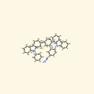 N#Cc1ccc(-n2c3ccccc3c3ccccc32)c(-c2cccc3c2sc2c3ccc3c4ccccc4n(-c4ccccc4)c32)c1